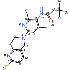 Cc1cc(N2CCc3nc(F)ccc3C2)nc(C)c1NC(=O)CC(C)(C)C